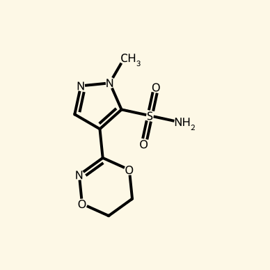 Cn1ncc(C2=NOCCO2)c1S(N)(=O)=O